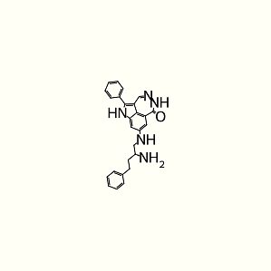 N[C@@H](CCc1ccccc1)CNc1cc2c3c(c(-c4ccccc4)[nH]c3c1)C=NNC2=O